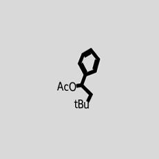 CC(=O)OC(CC(C)(C)C)c1ccccc1